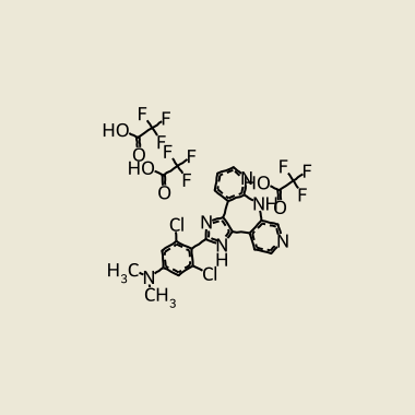 CN(C)c1cc(Cl)c(-c2nc3c([nH]2)-c2ccncc2Nc2ncccc2-3)c(Cl)c1.O=C(O)C(F)(F)F.O=C(O)C(F)(F)F.O=C(O)C(F)(F)F